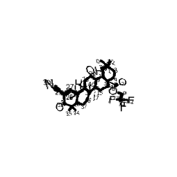 CC1(C)CC[C@]2(C(=O)OCC(F)(F)F)CC[C@]3(C)C(C2C1)[C@H](O)C[C@@H]1[C@@]2(C)C=C(C#N)C(=O)C(C)(C)C2CC[C@]13C